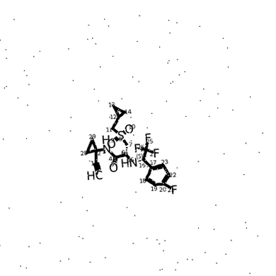 C#CC1(NC(=O)[C@H](CS(=O)(=O)CC2CC2)N[C@@H](c2ccc(F)cc2)C(F)(F)F)CC1